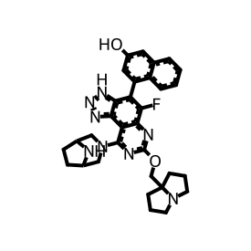 Oc1cc(-c2c(F)c3nc(OCC45CCCN4CCC5)nc(N4CC5CCC(C4)N5)c3c3nn[nH]c23)c2ccccc2c1